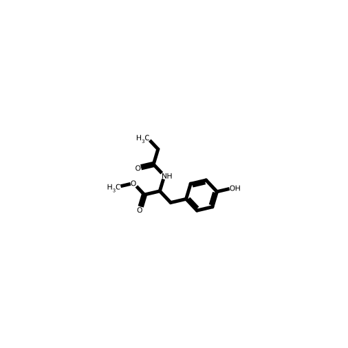 CCC(=O)NC(Cc1ccc(O)cc1)C(=O)OC